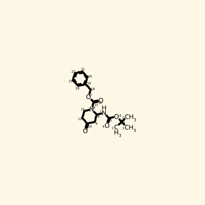 CC(C)(C)OC(=O)NC1CC(=O)CCN1C(=O)OCc1ccccc1